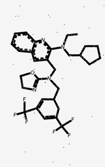 CCN(CC1CCCC1)c1nc2ccccc2cc1CN(CC1C=C(C(F)(F)F)C=C(C(F)(F)F)C1)C1=NCCO1